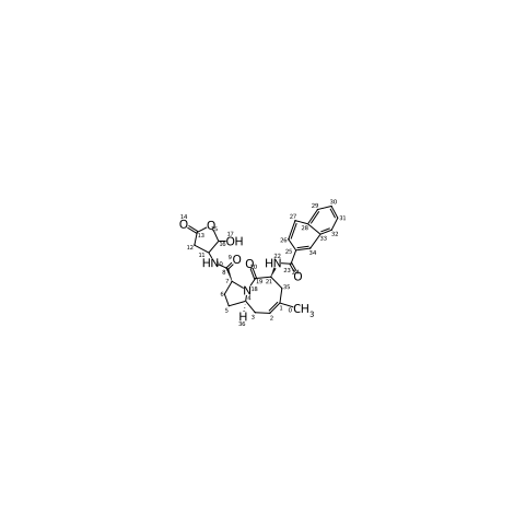 C/C1=C/C[C@H]2CC[C@@H](C(=O)NC3CC(=O)OC3O)N2C(=O)[C@@H](NC(=O)c2ccc3ccccc3c2)C1